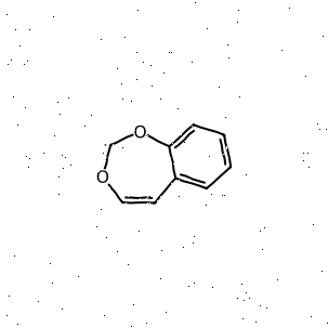 [CH]1OC=Cc2ccccc2O1